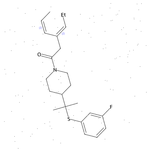 C/C=C\C(=C/CC)CC(=O)N1CCC(C(C)(C)Sc2cccc(F)c2)CC1